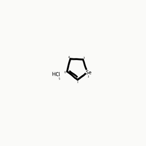 C1=C[Se]CC1.Cl